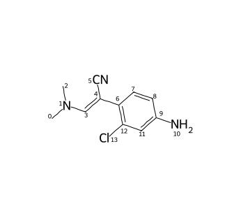 CN(C)C=C(C#N)c1ccc(N)cc1Cl